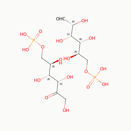 O=C(CO)[C@@H](O)[C@H](O)[C@H](O)COP(=O)(O)O.O=C[C@H](O)[C@@H](O)[C@H](O)[C@H](O)COP(=O)(O)O